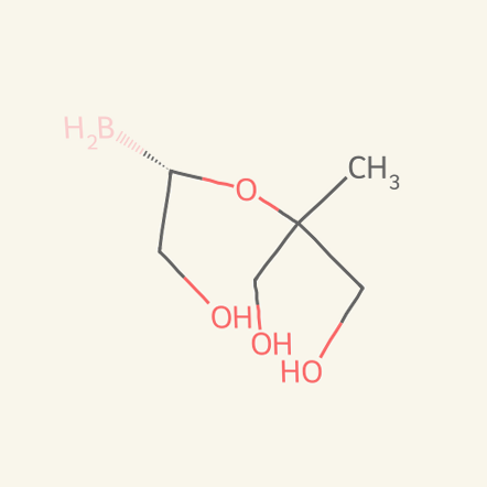 B[C@@H](CO)OC(C)(CO)CO